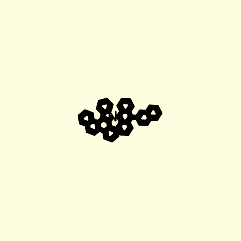 c1ccc2cc(-c3c4ccccc4c(-n4c5ccccc5c5c6c7ccccc7ccc6c6ccccc6c54)c4ccccc34)ccc2c1